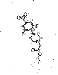 CCOC(=O)CN1CCN(c2c(F)cc([N+](=O)[O-])cc2F)CC1